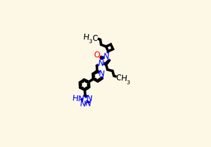 CCCCc1cn(C2CCC2CCC)c(=O)n1Cc1cc(-c2cccc(-c3nnn[nH]3)c2)ccn1